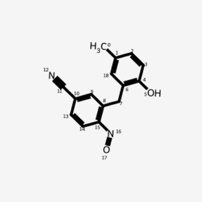 Cc1ccc(O)c(Cc2cc(C#N)ccc2N=O)c1